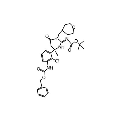 CC(C)(C)OC(=O)N=C1N[C@](C)(c2cccc(NC(=O)OCc3ccccc3)c2Cl)CC(=O)N1CC1CCOCC1